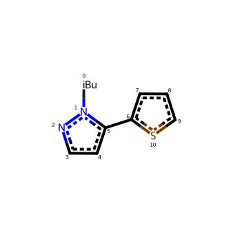 CCC(C)n1nccc1-c1cccs1